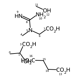 CC(O)C(=O)O.CN(CC(=O)O)C(=N)N.CO.O=C(O)CCC(=O)O